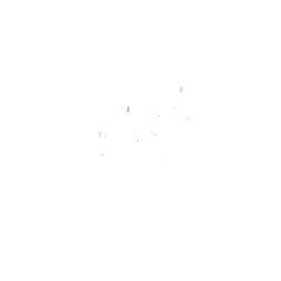 CC(=O)N(N=C(N)NN1CCOCC1)NC(=N)N